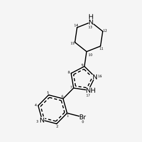 Brc1cnccc1-c1cc(C2CCNCC2)n[nH]1